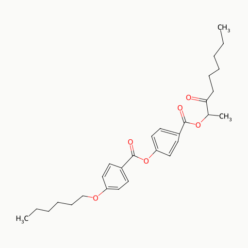 CCCCCCOc1ccc(C(=O)Oc2ccc(C(=O)OC(C)C(=O)CCCCCC)cc2)cc1